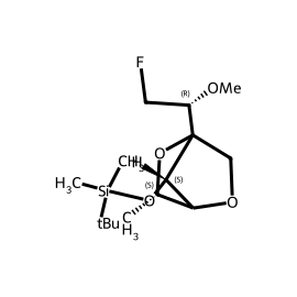 CO[C@@H](CF)C12COC([C@H](C)O1)[C@@H]2O[Si](C)(C)C(C)(C)C